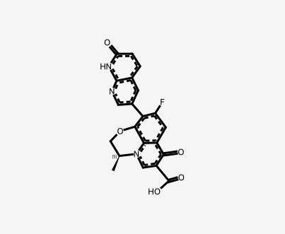 C[C@H]1COc2c(-c3cnc4[nH]c(=O)ccc4c3)c(F)cc3c(=O)c(C(=O)O)cn1c23